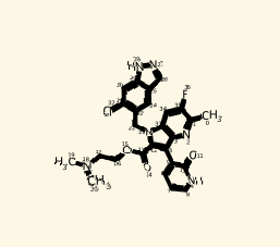 Cc1nc2c(-c3ccc[nH]c3=O)c(C(=O)OCCN(C)C)n(Cc3cc4cn[nH]c4cc3Cl)c2cc1F